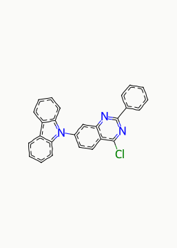 Clc1nc(-c2ccccc2)nc2cc(-n3c4ccccc4c4ccccc43)ccc12